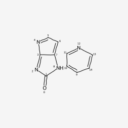 O=C1N=C2N=CC=C2N1.c1ccncc1